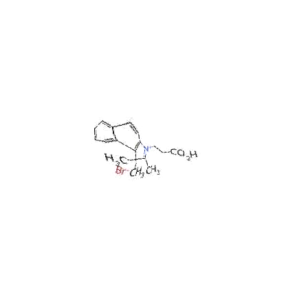 CC1=[N+](CCC(=O)O)c2ccc3ccccc3c2C1(C)C.[Br-]